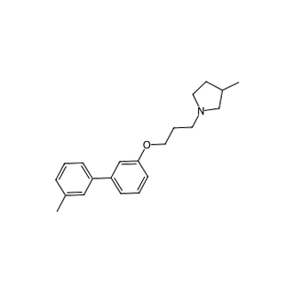 Cc1cccc(-c2cccc(OCCCN3CCC(C)C3)c2)c1